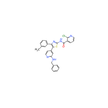 Cc1cccc(-c2nc(NC(=O)c3cccnc3Cl)sc2-c2ccnc(NCc3ccccc3)c2)c1